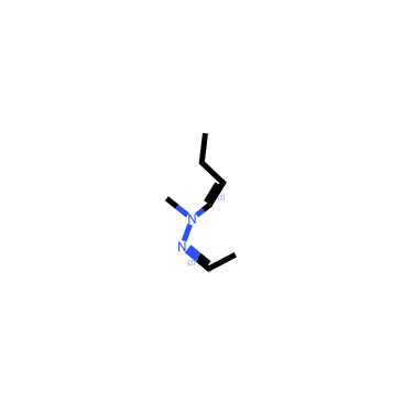 C/C=N\N(C)/C=C\CC